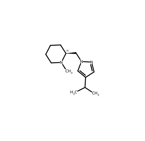 CC(C)c1cnn(C[C@@H]2CCCCN2C)c1